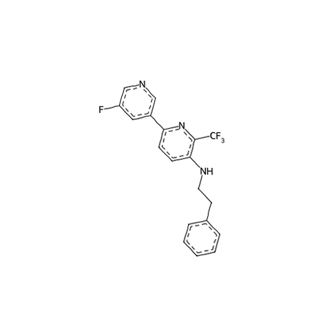 Fc1cncc(-c2ccc(NCCc3ccccc3)c(C(F)(F)F)n2)c1